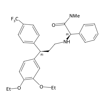 CCOc1ccc([C@H](CCN[C@@H](C(=O)NC)c2ccccc2)c2ccc(C(F)(F)F)cc2)cc1OCC